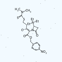 CC[N+](CC)(CC)C1CC(=O)N1C(C(=O)OCc1ccc([N+](=O)[O-])cc1)=C([O-])CCSC(=S)N(C)C